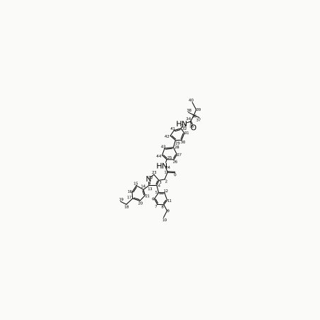 C=C(CC1=C(c2ccc(CC)cc2)C(c2ccc(CC)cc2)=NC1)Nc1ccc(-c2ccc(NC(=O)C(C)(C)CC)cc2)cc1